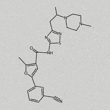 Cc1oc(-c2cccc(C#N)c2)cc1C(=O)Nc1nc(CC(C)N2CCN(C)CC2)ns1